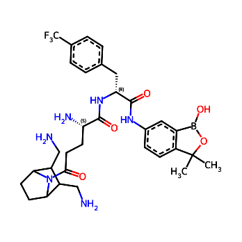 CC1(C)OB(O)c2cc(NC(=O)[C@@H](Cc3ccc(C(F)(F)F)cc3)NC(=O)[C@@H](N)CCC(=O)N3C4CCC3C(CN)C4CN)ccc21